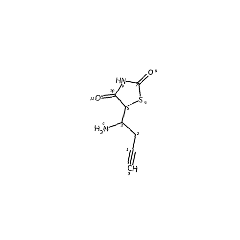 C#CCC(N)C1SC(=O)NC1=O